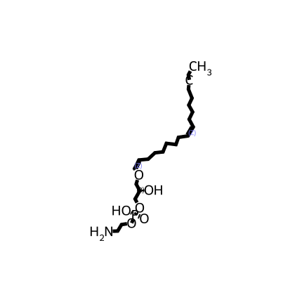 CCCCCCCC/C=C\CCCCCC/C=C\OC[C@@H](O)COP(=O)(O)OCCN